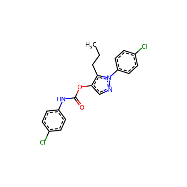 CCCc1c(OC(=O)Nc2ccc(Cl)cc2)cnn1-c1ccc(Cl)cc1